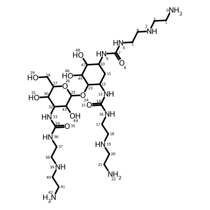 NCCNCCNC(=O)NC1CC(NC(=O)NCCNCCN)C(OC2OC(CO)C(O)C(NC(=O)NCCNCCN)C2O)C(O)C1O